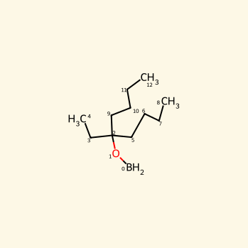 BOC(CC)(CCCC)CCCC